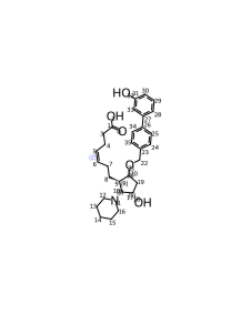 O=C(O)CC/C=C\CC[C@@H]1[C@@H](N2CCCCC2)[C@@H](O)C[C@@H]1OCc1ccc(-c2cccc(O)c2)cc1